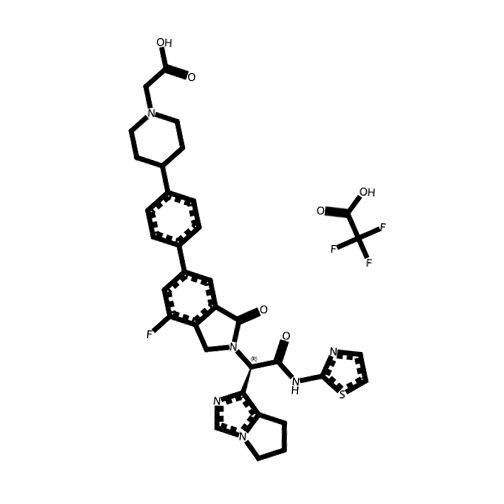 O=C(O)C(F)(F)F.O=C(O)CN1CCC(c2ccc(-c3cc(F)c4c(c3)C(=O)N([C@@H](C(=O)Nc3nccs3)c3ncn5c3CCC5)C4)cc2)CC1